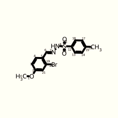 COc1ccc(C=NNS(=O)(=O)c2ccc(C)cc2)c(Br)c1